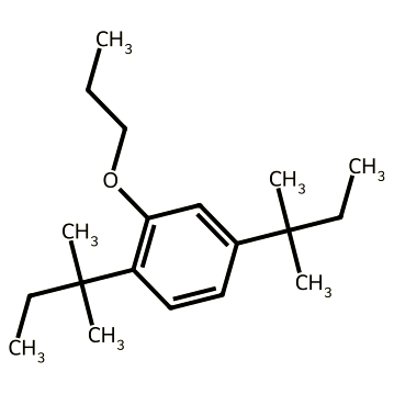 CCCOc1cc(C(C)(C)CC)ccc1C(C)(C)CC